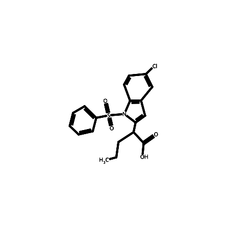 CCCC(C(=O)O)c1cc2cc(Cl)ccc2n1S(=O)(=O)c1ccccc1